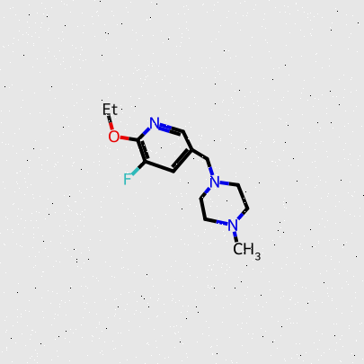 CCOc1ncc(CN2CCN(C)CC2)cc1F